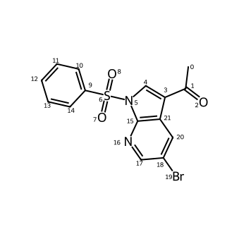 CC(=O)c1cn(S(=O)(=O)c2ccccc2)c2ncc(Br)cc12